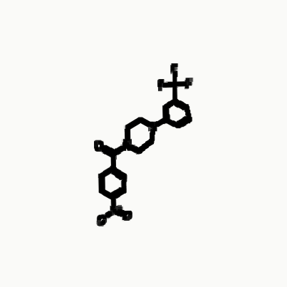 O=C(c1ccc([N+](=O)[O-])cc1)N1CCN(c2cccc(C(F)(F)F)c2)CC1